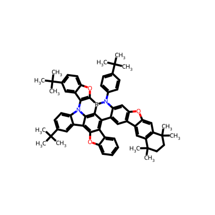 CC(C)(C)c1ccc(N2B3c4oc5ccc(C(C)(C)C)cc5c4-n4c5ccc(C(C)(C)C)cc5c5c6oc7ccccc7c6c(c3c54)-c3cc4c(cc32)oc2cc3c(cc24)C(C)(C)CCC3(C)C)cc1